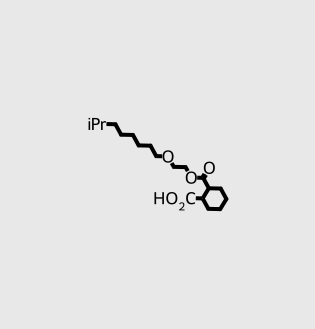 CC(C)CCCCCCOCCOC(=O)C1CCCCC1C(=O)O